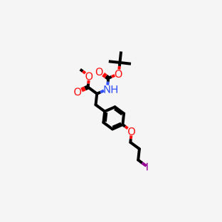 COC(=O)C(Cc1ccc(OCCCI)cc1)NC(=O)OC(C)(C)C